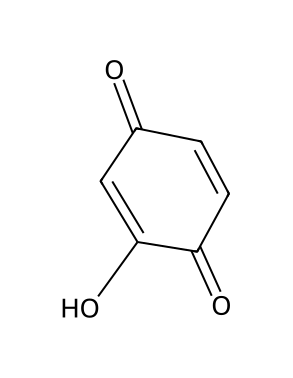 O=C1C=CC(=O)C(O)=C1